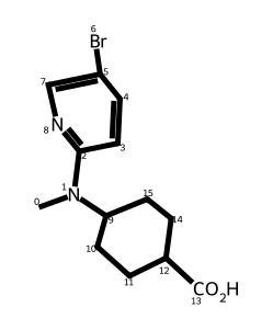 CN(c1ccc(Br)cn1)C1CCC(C(=O)O)CC1